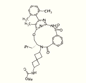 COC(=O)NC1CC2(C1)CC(N1C(=O)c3cccc(c3)S(=O)(=O)Nc3nc(c(C)c(-c4c(C)cccc4C)n3)OC[C@H]1CC(C)C)C2